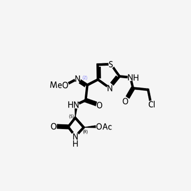 CO/N=C(\C(=O)N[C@@H]1C(=O)N[C@@H]1OC(C)=O)c1csc(NC(=O)CCl)n1